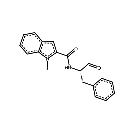 Cn1c(C(=O)N[C@H](C=O)Cc2ccccc2)cc2ccccc21